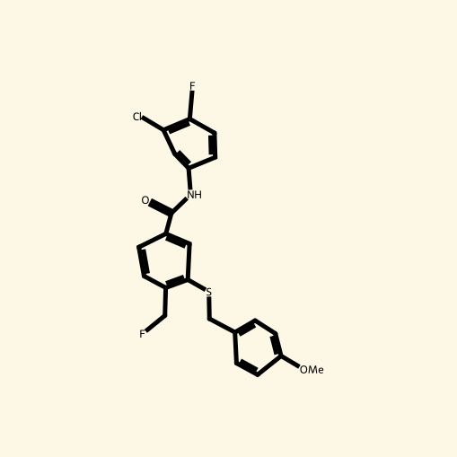 COc1ccc(CSc2cc(C(=O)Nc3ccc(F)c(Cl)c3)ccc2CF)cc1